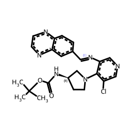 CC(C)(C)OC(=O)N[C@@H]1CCN(c2c(Cl)cncc2/N=C/c2ccc3nccnc3c2)C1